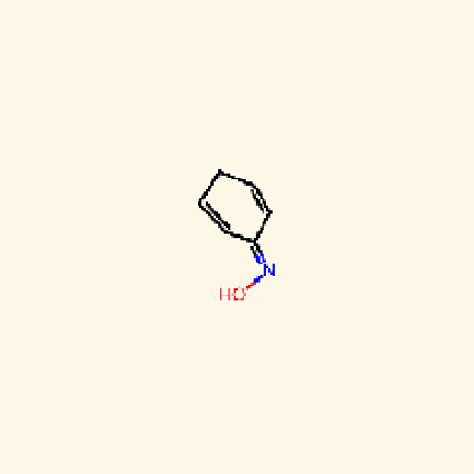 ON=C1C=CCC=C1